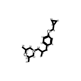 CC(Cc1ccc(OCC2CC2)cc1)CN1CC(C)OC(C)C1